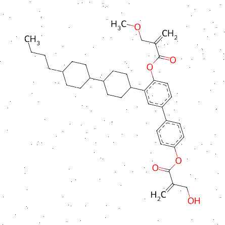 C=C(CO)C(=O)Oc1ccc(-c2ccc(OC(=O)C(=C)COC)c(C3CCC(C4CCC(CCCC)CC4)CC3)c2)cc1